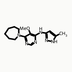 COc1c(Nc2cc(C)[nH]n2)ncnc1N1CCCCCC1